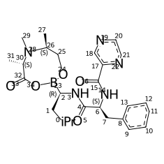 CC(C)C[C@H](NC(=O)[C@H](Cc1ccccc1)NC(=O)c1cnccn1)B1OC[C@H](C)N(C)[C@@H](C)C(=O)O1